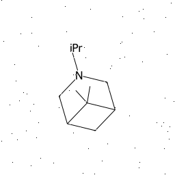 CC(C)N1CC2CC(C1)C2(C)C